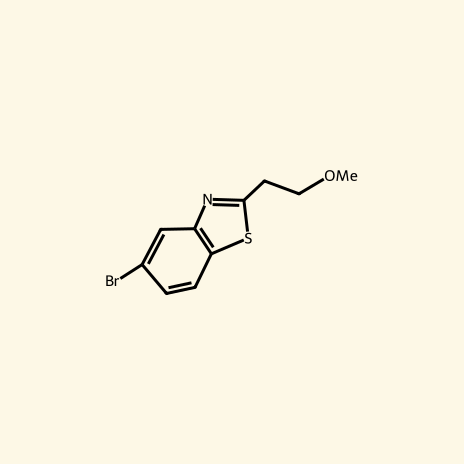 COCCc1nc2cc(Br)ccc2s1